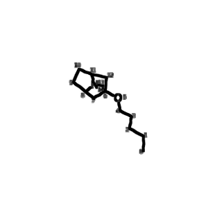 CCCCCOC1CC2CCC(C1)N2C